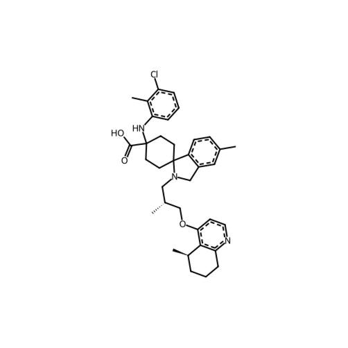 Cc1ccc2c(c1)CN(C[C@@H](C)COc1ccnc3c1[C@H](C)CCC3)C21CCC(Nc2cccc(Cl)c2C)(C(=O)O)CC1